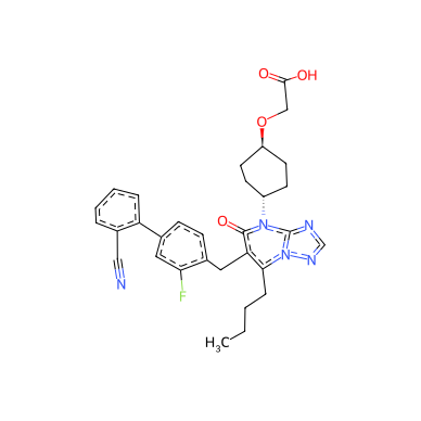 CCCCc1c(Cc2ccc(-c3ccccc3C#N)cc2F)c(=O)n([C@H]2CC[C@H](OCC(=O)O)CC2)c2ncnn12